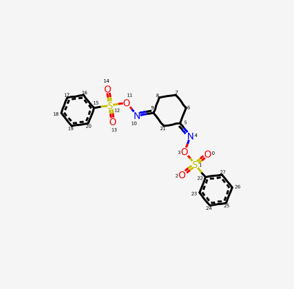 O=S(=O)(ON=C1CCCC(=NOS(=O)(=O)c2ccccc2)C1)c1ccccc1